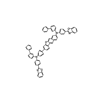 c1ccc(-c2cccc(N(c3ccc(-c4ccc5c(c4)oc4cc6cc(N(c7ccc(-c8nc9ccccc9o8)cc7)c7cccc(-c8ccccc8)c7)ccc6cc45)cc3)c3ccc(-c4nc5ccccc5o4)cc3)c2)cc1